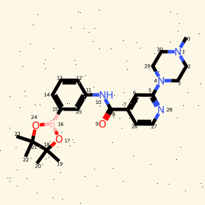 CN1CCN(c2cc(C(=O)Nc3cccc(B4OC(C)(C)C(C)(C)O4)c3)ccn2)CC1